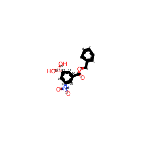 O=C(OCc1ccccc1)c1cc(B(O)O)cc([N+](=O)[O-])c1